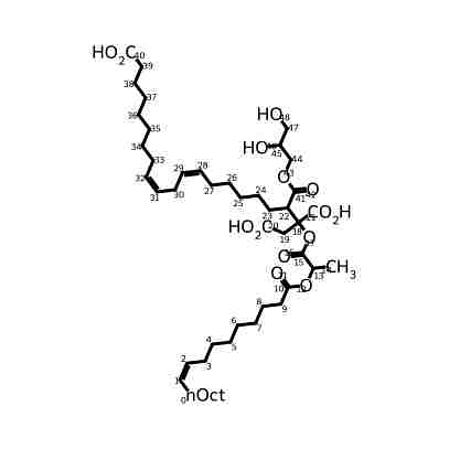 CCCCCCCC/C=C\CCCCCCCC(=O)OC(C)C(=O)OC(CC(=O)O)(C(=O)O)C(CCCCC/C=C\C/C=C\CCCCCCCC(=O)O)C(=O)OCC(O)CO